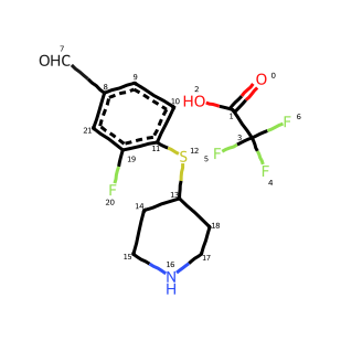 O=C(O)C(F)(F)F.O=Cc1ccc(SC2CCNCC2)c(F)c1